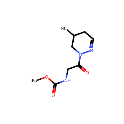 CC(C)(C)OC(=O)NCC(=O)N1CC(C#N)CC=N1